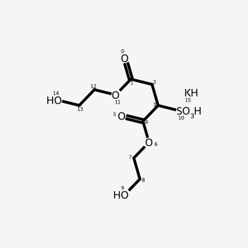 O=C(CC(C(=O)OCCO)S(=O)(=O)O)OCCO.[KH]